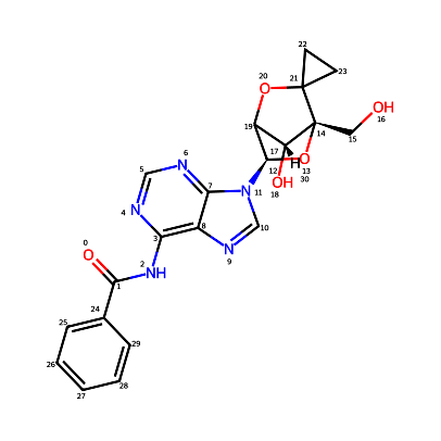 O=C(Nc1ncnc2c1ncn2[C@@H]1O[C@]2(CO)[C@H](O)C1OC21CC1)c1ccccc1